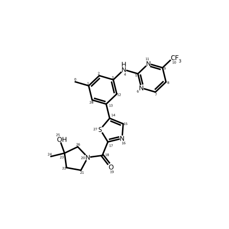 Cc1cc(Nc2nccc(C(F)(F)F)n2)cc(-c2cnc(C(=O)N3CCC(C)(O)C3)s2)c1